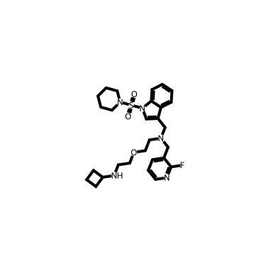 O=S(=O)(N1CCCCC1)n1cc(CN(CCOCCNC2CCC2)Cc2cccnc2F)c2ccccc21